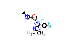 Cc1nc2nc([C@@H]3CCO[C@H](c4cnn(C5CC5)c4)C3)nc(-c3ccc(C(F)(F)F)cc3F)c2nc1C